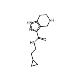 O=C(NCCC1CC1)c1n[nH]c2c1CNCC2